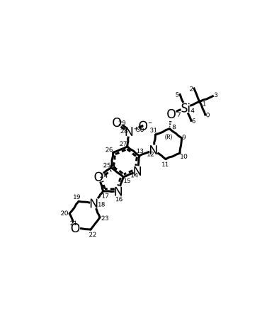 CC(C)(C)[Si](C)(C)O[C@@H]1CCCN(c2nc3nc(N4CCOCC4)oc3cc2[N+](=O)[O-])C1